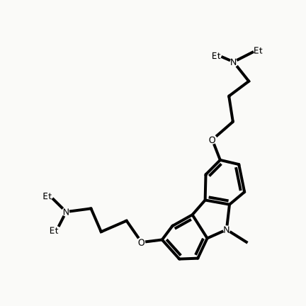 CCN(CC)CCCOc1ccc2c(c1)c1cc(OCCCN(CC)CC)ccc1n2C